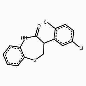 O=C1Nc2ccccc2SCC1c1cc(Cl)ccc1Cl